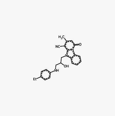 CCc1ccc(NCC(O)Cn2c3ccccc3n3c(=O)cc(C)c(C#N)c23)cc1